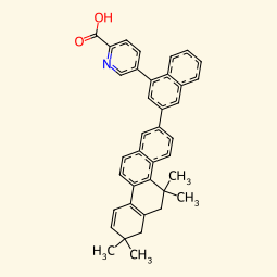 CC1(C)C=CC2=C(C1)CC(C)(C)c1c2ccc2cc(-c3cc(-c4ccc(C(=O)O)nc4)c4ccccc4c3)ccc12